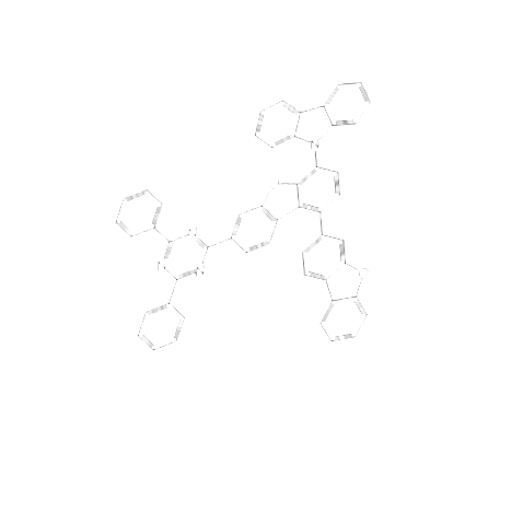 c1ccc(-c2nc(-c3ccccc3)nc(-c3ccc4c(c3)oc3c(-n5c6ccccc6c6ccccc65)ccc(-c5ccc6c(c5)oc5ccccc56)c34)n2)cc1